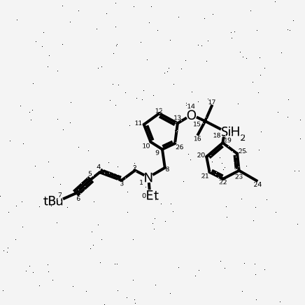 CCN(CC=CC#CC(C)(C)C)Cc1cccc(OC(C)(C)[SiH2]c2cccc(C)c2)c1